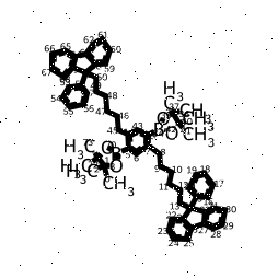 CC1(C)OB(c2cc(CCCCCCC3(c4ccccc4)c4ccccc4-c4ccccc43)c(B3OC(C)(C)C(C)(C)O3)cc2CCCCCCC2(c3ccccc3)c3ccccc3-c3ccccc32)OC1(C)C